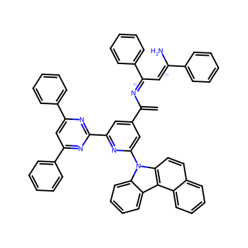 C=C(/N=C(\C=C(/N)c1ccccc1)c1ccccc1)c1cc(-c2nc(-c3ccccc3)cc(-c3ccccc3)n2)nc(-n2c3ccccc3c3c4ccccc4ccc32)c1